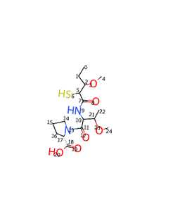 CCC(OC)C(S)C(=O)NC(C(=O)N1CCC[C@H]1C(=O)O)C(C)OC